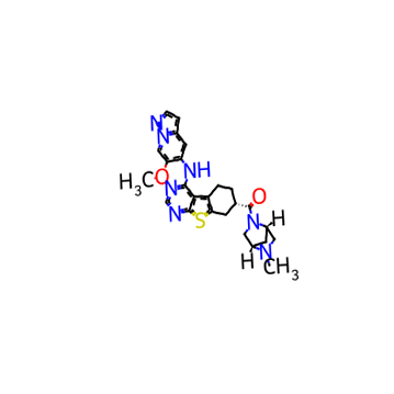 COc1cn2nccc2cc1Nc1ncnc2sc3c(c12)CC[C@H](C(=O)N1C[C@@H]2C[C@H]1CN2C)C3